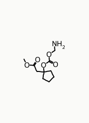 COC(=O)CC1(OC(=O)OCN)CCCC1